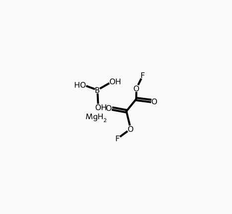 O=C(OF)C(=O)OF.OB(O)O.[MgH2]